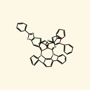 c1ccc(-c2cccc(-c3cccc(-n4c5ccccc5c5ccc6c7ccccc7n(-c7nc(-c8ccccc8)nc(-c8ccc9oc(-c%10ccccc%10)nc9c8)n7)c6c54)c3)c2)cc1